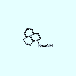 N=C=Nc1ccc2cccc3c2c1C=CC3